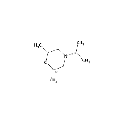 CC1CN(C(C)C)C[C@H](C)O1